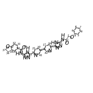 O=C(COc1ccccc1)Nc1nnc(-c2ccc(-c3ccc(-c4nnc(NC(=O)c5ccc6c(c5)CCO6)[nH]4)nc3)cn2)[nH]1